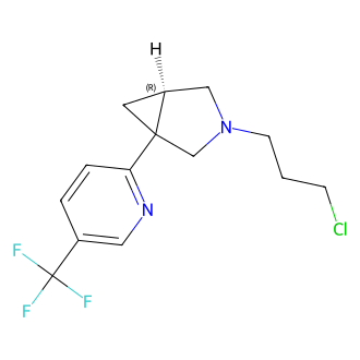 FC(F)(F)c1ccc(C23C[C@H]2CN(CCCCl)C3)nc1